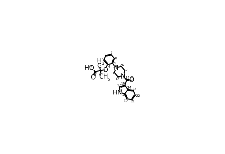 CC(C)(Oc1ccccc1N1CCN(C(=O)c2c[nH]c3ccccc23)CC1)C(=O)O